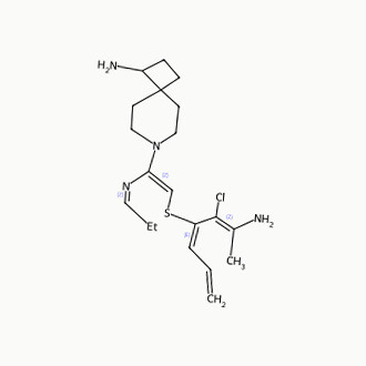 C=C/C=C(S/C=C(\N=C/CC)N1CCC2(CCC2N)CC1)\C(Cl)=C(/C)N